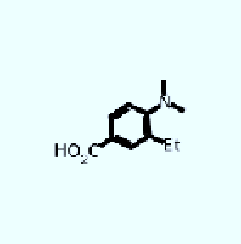 CCc1cc(C(=O)O)ccc1N(C)C